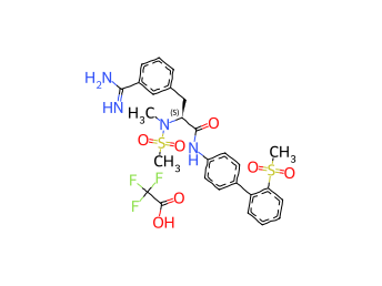 CN([C@@H](Cc1cccc(C(=N)N)c1)C(=O)Nc1ccc(-c2ccccc2S(C)(=O)=O)cc1)S(C)(=O)=O.O=C(O)C(F)(F)F